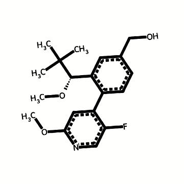 COc1cc(-c2ccc(CO)cc2[C@H](OC)C(C)(C)C)c(F)cn1